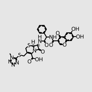 Cn1nnnc1SCC1=C(C(=O)O)N2C(=O)[C@@H](NC(=O)C(NC(=O)c3coc4cc(O)c(O)cc4c3=O)c3ccccc3)[C@@H]2SC1